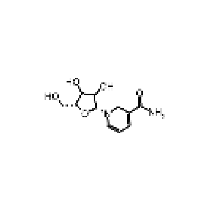 NC(=O)C1=CC=CN([C@@H]2O[C@H](CO)C(O)C2O)C1